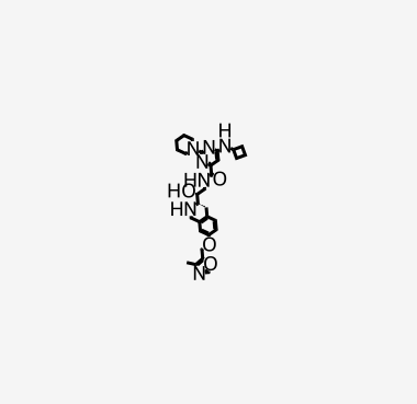 Cc1ncoc1COc1ccc2c(c1)CN[C@H]([C@H](O)CNC(=O)c1cc(NC3CCC3)nc(N3CCCCC3)n1)C2